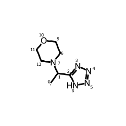 [CH2]C(c1nnn[nH]1)N1CCOCC1